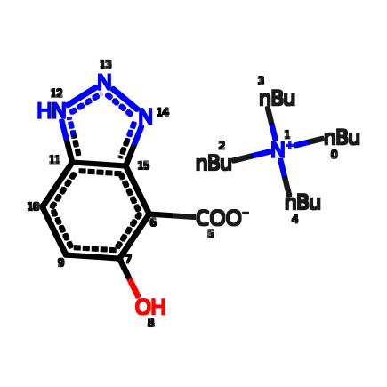 CCCC[N+](CCCC)(CCCC)CCCC.O=C([O-])c1c(O)ccc2[nH]nnc12